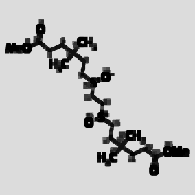 COC(=O)CCC(C)(C)CC[S+]([O-])CC[S+]([O-])CCC(C)(C)CCC(=O)OC